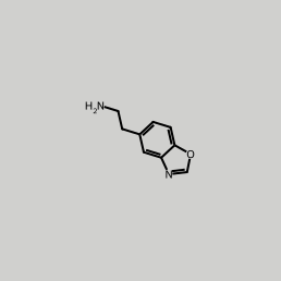 NCCc1ccc2ocnc2c1